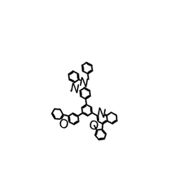 C=Nc1ccccc1N(Cc1ccccc1)c1ccc(-c2cc(-c3ccc4oc5c(c4c3)CCC=C5)cc(-c3nc4c(c5c3oc3ccccc35)C=CCC4)c2)cc1